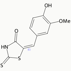 COc1cc(/C=C2/SC(=S)NC2=O)ccc1O